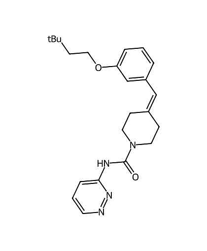 CC(C)(C)CCOc1cccc(C=C2CCN(C(=O)Nc3cccnn3)CC2)c1